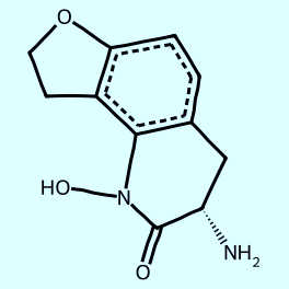 N[C@H]1Cc2ccc3c(c2N(O)C1=O)CCO3